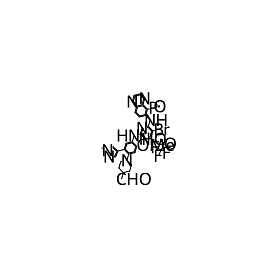 COc1cc(N2CCC(C=O)CC2)c(-c2cnn(C)c2)cc1Nc1ncc(Br)c(Nc2ccc3nccnc3c2P(C)(C)=O)n1.O=C(O)C(F)(F)F